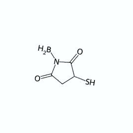 BN1C(=O)CC(S)C1=O